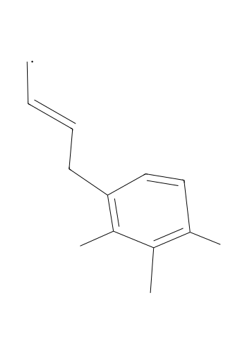 [CH2]C=CCc1ccc(C)c(C)c1C